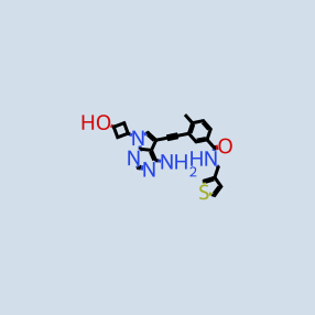 Cc1ccc(C(=O)NCc2ccsc2)cc1C#Cc1cn(C2CC(O)C2)c2ncnc(N)c12